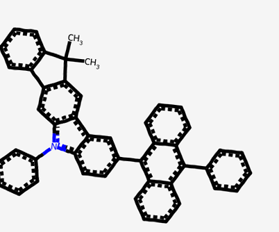 CC1(C)c2ccccc2-c2cc3c(cc21)c1cc(-c2c4ccccc4c(-c4ccccc4)c4ccccc24)ccc1n3-c1ccccc1